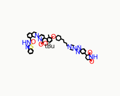 Cc1c(OC2CCC(CCCCN3CCN(c4nc5cc(C6CCC(=O)NC6=O)ccc5n4C)CC3)CC2)cccc1-c1ccc(N2CCc3cccc(C(=O)Nc4nc5ccccc5s4)c3C2)nc1C(=O)OC(C)(C)C